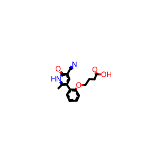 Cc1[nH]c(=O)c(C#N)cc1-c1ccccc1OCCCC(=O)O